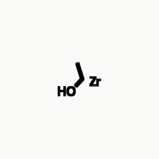 CCO.[Zr]